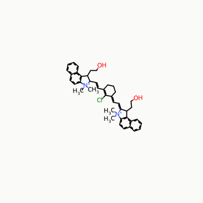 C[N+]1(C)C(=CC=C2CCCC(C=CC3C(CCO)c4c(ccc5ccccc45)[N+]3(C)C)=C2Cl)C(CCO)c2c1ccc1ccccc21